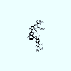 COCCN(Cc1cnc(-c2cc3nccc(Oc4ccc(NC(=O)NC(C)C)cc4F)c3s2)n1C)C(=O)NC(C)C